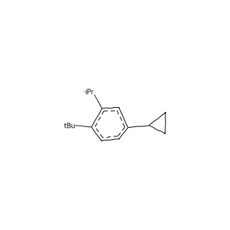 C[C](C)c1cc(C2CC2)ccc1C(C)(C)C